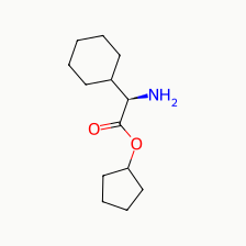 N[C@@H](C(=O)OC1CCCC1)C1CCCCC1